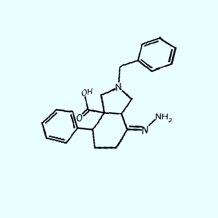 N/N=C1/CCC(c2ccccc2)C2(C(=O)O)CN(Cc3ccccc3)CC12